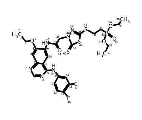 CCOc1cc2ncnc(Nc3ccc(F)c(Cl)c3)c2cc1NC(=O)Cn1nc(SCCP(=O)(OCC)OCC)sc1=S